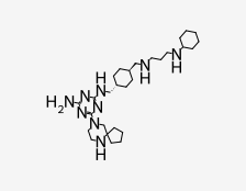 Nc1nc(NC[C@H]2CC[C@H](CNCCCNC3CCCCC3)CC2)nc(N2CCNC3(CCCC3)C2)n1